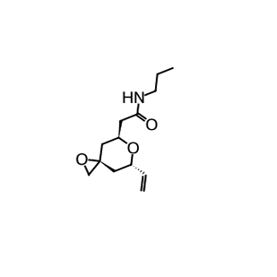 C=C[C@@H]1C[C@]2(CO2)C[C@@H](CC(=O)NCCC)O1